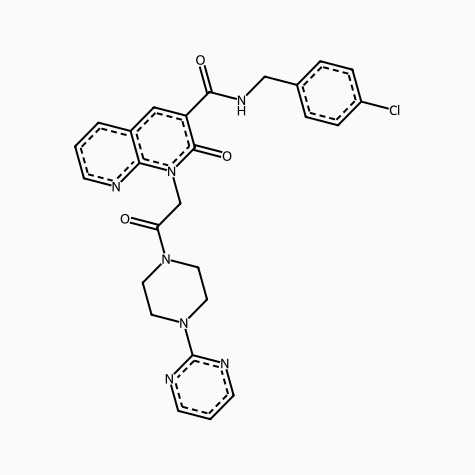 O=C(NCc1ccc(Cl)cc1)c1cc2cccnc2n(CC(=O)N2CCN(c3ncccn3)CC2)c1=O